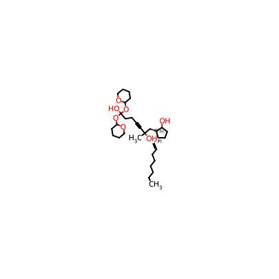 CCCCCCC=C[C@H]1CC[C@H](O)[C@@H]1CC(C)(O)C#CCCC(O)(OC1CCCCO1)OC1CCCCO1